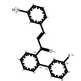 Nc1cccc(C=CC(=O)c2ccccc2-c2cccc(F)c2)c1